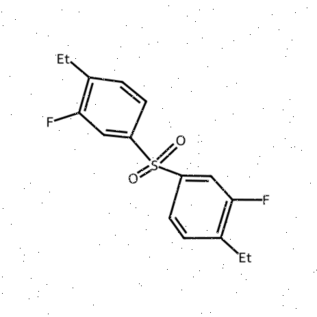 CCc1ccc(S(=O)(=O)c2ccc(CC)c(F)c2)cc1F